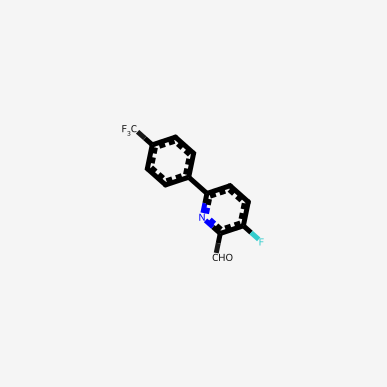 O=Cc1nc(-c2ccc(C(F)(F)F)cc2)ccc1F